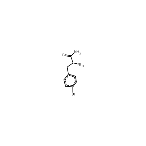 NC(=O)[C@@H](N)Cc1ccc(Br)cc1